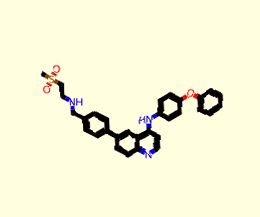 CS(=O)(=O)CCNCc1ccc(-c2ccc3nccc(Nc4ccc(Oc5ccccc5)cc4)c3c2)cc1